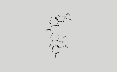 Cc1cc(Cl)ccc1C1(O)[C@H](C)CN(C(=O)[C@@H](CO)NC(=O)OC(C)(C)C)C[C@@H]1C